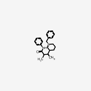 CC(C(=O)Nc1ccccc1)C(C)C1CCCN(Cc2ccccc2)C1